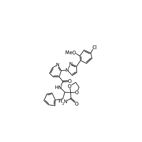 COc1cc(Cl)ccc1-c1ccn(-c2ncccc2C(=O)NC(Cc2ccccc2)C2(C(N)=O)OCCO2)n1